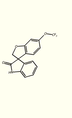 O=C1Nc2ccccc2C12COc1cc(OC(F)(F)F)ccc12